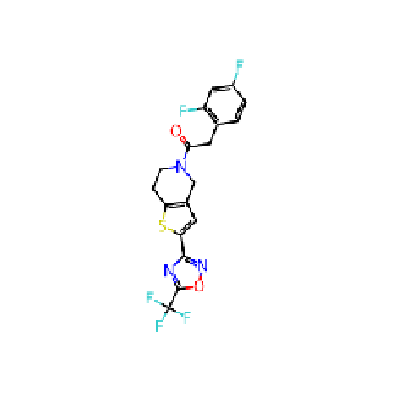 O=C(Cc1ccc(F)cc1F)N1CCc2sc(-c3noc(C(F)(F)F)n3)cc2C1